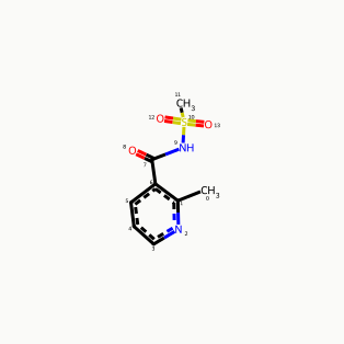 Cc1ncccc1C(=O)NS(C)(=O)=O